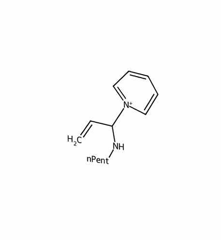 C=CC(NCCCCC)[n+]1ccccc1